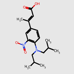 C/C(=C\C(=O)O)c1ccc(N(CC(C)C)CC(C)C)c([N+](=O)[O-])c1